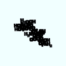 CC1O[C@H](C)[C@@H](N)C(O)[C@@H]1O[C@@H]1OC(OC=O)[C@@H](O[C@H]2OC(C)[C@@H](O[C@@H]3O[C@@H](C(=O)O)[C@@H](O[C@H]4O[C@@H](C)[C@@H](O)C(O)[C@@H]4N)C(O)[C@@H]3C)C[C@@H]2N)C(O)[C@@H]1OS(=O)(=O)O